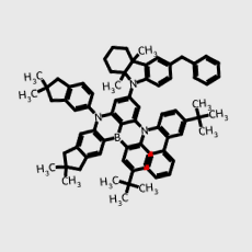 CC1(C)Cc2ccc(N3c4cc5c(cc4B4c6cc(C(C)(C)C)ccc6N(c6ccc(C(C)(C)C)cc6-c6ccccc6)c6cc(N7c8ccc(Cc9ccccc9)cc8C8(C)CCCCC78C)cc3c64)CC(C)(C)C5)cc2C1